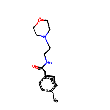 CCC(C)c1ccc(C(=O)NCCN2CCOCC2)cc1